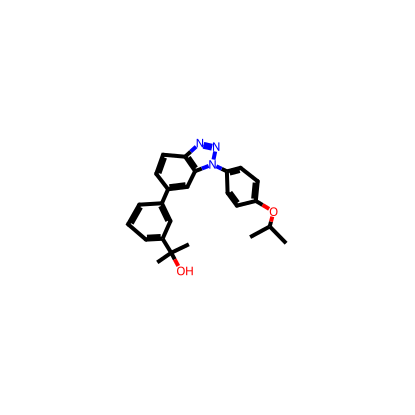 CC(C)Oc1ccc(-n2nnc3ccc(-c4cccc(C(C)(C)O)c4)cc32)cc1